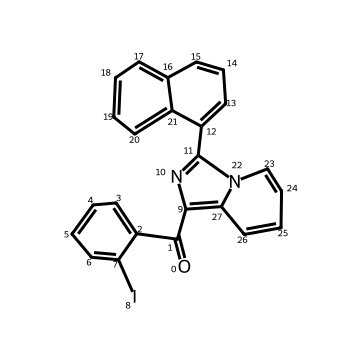 O=C(c1ccccc1I)c1nc(-c2cccc3ccccc23)n2ccccc12